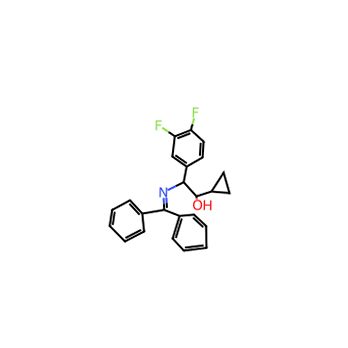 OC(C1CC1)C(N=C(c1ccccc1)c1ccccc1)c1ccc(F)c(F)c1